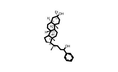 CC[C@]1(O)CC[C@@]2(C)[C@@H](CC[C@@H]3[C@@H]2CC[C@]2(C)[C@@H]([C@H](C)CCC(O)c4ccccc4)CC[C@@H]32)C1